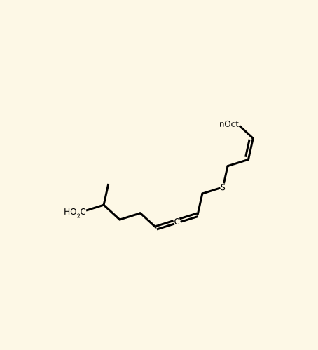 CCCCCCCC/C=C\CSCC=C=CCCC(C)C(=O)O